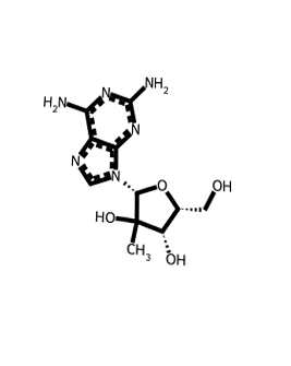 CC1(O)[C@@H](O)[C@@H](CO)O[C@H]1n1cnc2c(N)nc(N)nc21